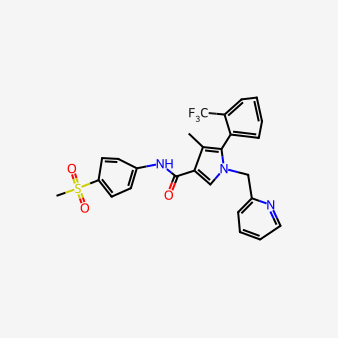 Cc1c(C(=O)Nc2ccc(S(C)(=O)=O)cc2)cn(Cc2ccccn2)c1-c1ccccc1C(F)(F)F